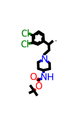 [CH2]C(CCN1CCC(NC(=O)OC(C)(C)C)CC1)c1ccc(Cl)c(Cl)c1